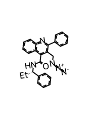 CC[C@H](NC(=O)c1c(CN=[N+]=[N-])c(-c2ccccc2)nc2ccccc12)c1ccccc1